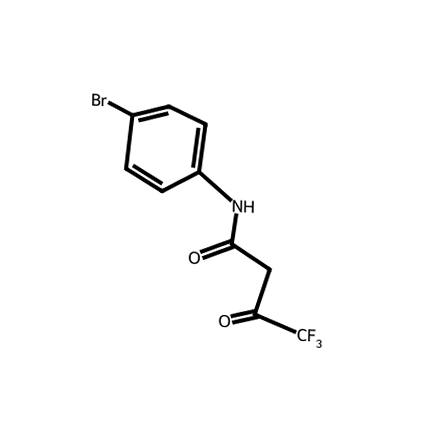 O=C(CC(=O)C(F)(F)F)Nc1ccc(Br)cc1